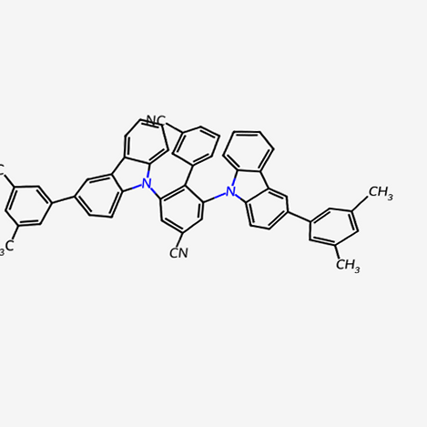 Cc1cc(C)cc(-c2ccc3c(c2)c2ccccc2n3-c2cc(C#N)cc(-n3c4ccccc4c4cc(-c5cc(C)cc(C)c5)ccc43)c2-c2cccc(C#N)c2)c1